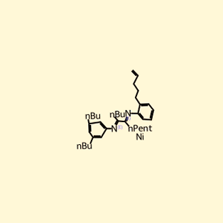 C=CCCCc1ccccc1/N=C(CCCCC)/C(CCCC)=N/c1cc(CCCC)cc(CCCC)c1.[Ni]